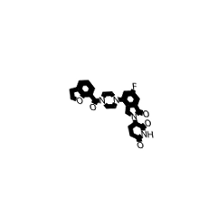 O=C1CCC(N2Cc3c(cc(F)cc3N3CCN(C(=O)c4cccc5c4OCC5)CC3)C2=O)C(=O)N1